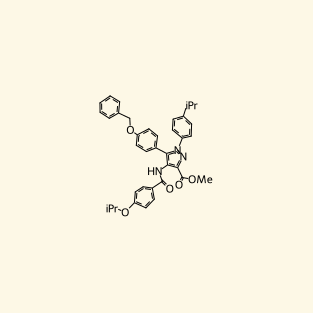 COC(=O)c1nn(-c2ccc(C(C)C)cc2)c(-c2ccc(OCc3ccccc3)cc2)c1NC(=O)c1ccc(OC(C)C)cc1